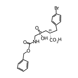 O=C(NCP(=O)(O)C[C@H](Cc1ccc(Br)cc1)C(=O)O)OCc1ccccc1